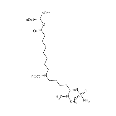 CCCCCCCCC(CCCCCCCC)OC(=O)CCCCCCCN(CCCCCCCC)CCCC/C(=N/S(N)(=O)=O)N(C)C